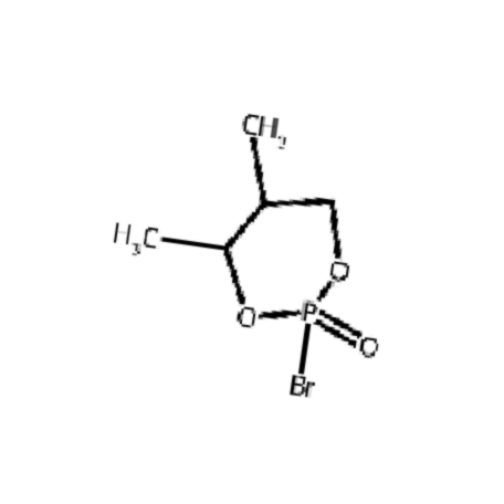 CC1COP(=O)(Br)OC1C